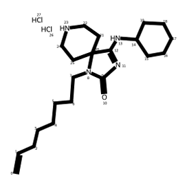 C=CCCCCCCN1C(=O)N=C(NC2CCCCC2)C12CCNCC2.Cl.Cl